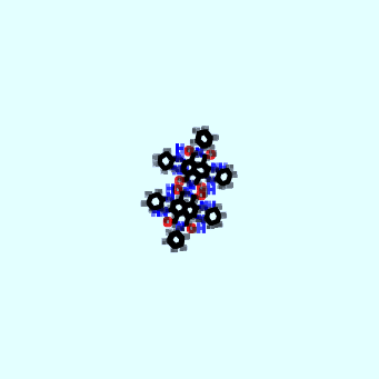 O=C1c2c3c(c4c5c(c6c(c(c25)C(=O)N1c1ccccc1)NC1CCCCC1N6)C(=O)N(N1C(=O)c2c5c(c6c7c(c8c(c(c27)C1=O)NC1CCCCC1N8)C(=O)N(c1ccccc1)C6=O)NC1CCCCC1N5)C4=O)NC1CCCCC1N3